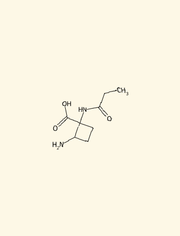 CCC(=O)NC1(C(=O)O)CCC1N